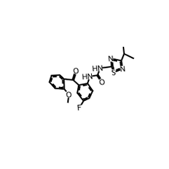 COc1ccccc1C(=O)c1cc(F)ccc1NC(=O)Nc1nc(C(C)C)ns1